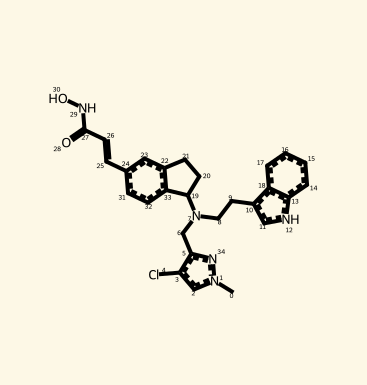 Cn1cc(Cl)c(CN(CCc2c[nH]c3ccccc23)C2CCc3cc(C=CC(=O)NO)ccc32)n1